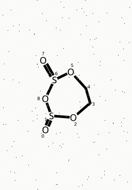 O=S1OCCOS(=O)O1